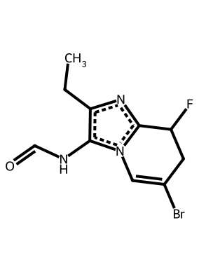 CCc1nc2n(c1NC=O)C=C(Br)CC2F